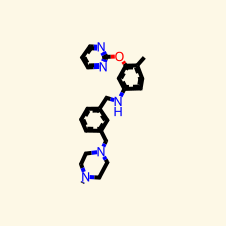 Cc1ccc(NCc2cccc(CN3CCN(C)CC3)c2)cc1Oc1ncccn1